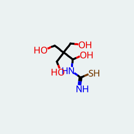 N=C(S)NC(O)C(CO)(CO)CO